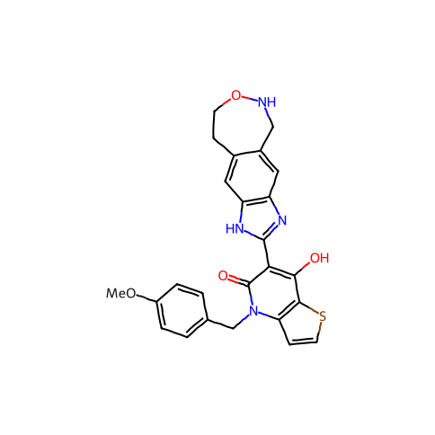 COc1ccc(Cn2c(=O)c(-c3nc4cc5c(cc4[nH]3)CCONC5)c(O)c3sccc32)cc1